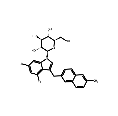 Cc1ccc2cc(Cc3cn([C@@H]4O[C@H](CO)[C@@H](O)[C@H](O)[C@H]4O)c4cc(Cl)cc(Cl)c34)ccc2c1